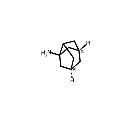 NC12C[C@@H]3CC1C[C@@H](C3)C2